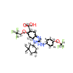 C[C@H]1C[C@@H](n2c(Nc3ccc(OC(F)(F)F)cc3)nc3cc(C(=O)O)c(OCC(F)(F)F)cc32)CC(C)(C)C1